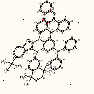 CC(C)(C)c1ccc2oc3c(c2c1)N(c1ccc2c(c1)C(C)(C)CCC2(C)C)c1cc(N(c2ccccc2)c2ccccc2)cc2c1B3c1ccc(-c3ccccc3)cc1N2c1ccccc1-c1ccccc1